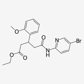 CCOC(=O)CC(CC(=O)Nc1ccc(Br)cn1)c1ccccc1OC